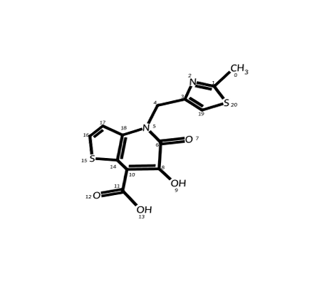 Cc1nc(Cn2c(=O)c(O)c(C(=O)O)c3sccc32)cs1